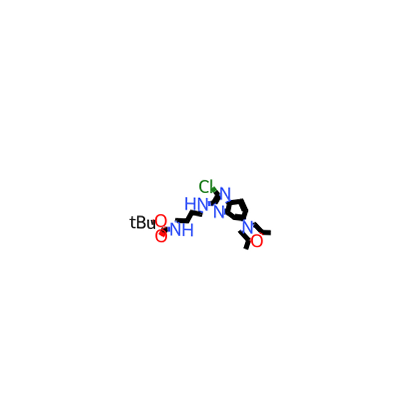 CC1CN(c2ccc3nc(Cl)c(NCCCCNC(=O)OC(C)(C)C)nc3c2)CC(C)O1